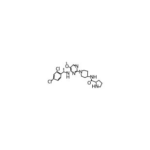 COc1cnc(N2CCC(NC(=O)C3CCCN3)CC2)nc1N[C@H](C)c1ccc(Cl)cc1Cl